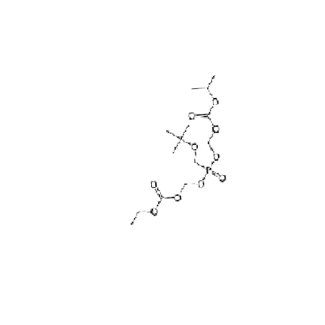 CCOC(=O)OCOP(=O)(COC(C)(C)C)OCOC(=O)OC(C)C